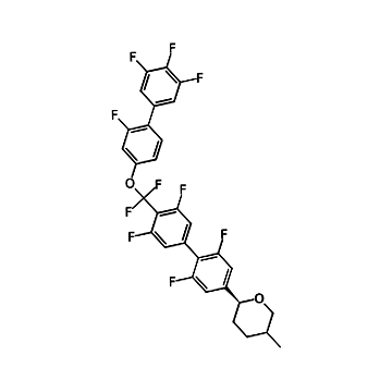 CC1CC[C@@H](c2cc(F)c(-c3cc(F)c(C(F)(F)Oc4ccc(-c5cc(F)c(F)c(F)c5)c(F)c4)c(F)c3)c(F)c2)OC1